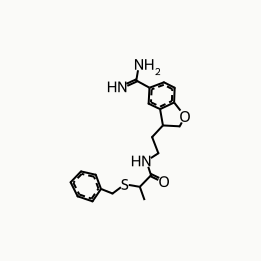 CC(SCc1ccccc1)C(=O)NCCC1COc2ccc(C(=N)N)cc21